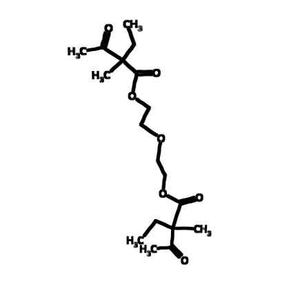 CCC(C)(C(C)=O)C(=O)OCCOCCOC(=O)C(C)(CC)C(C)=O